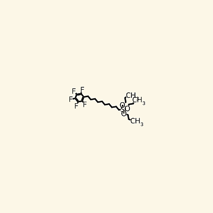 CCCO[Si](CCCCCCCCCCc1c(F)c(F)c(F)c(F)c1F)(OCCC)OCCC